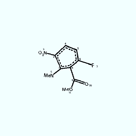 CNc1c([N+](=O)[O-])ccc(F)c1C(=O)OC